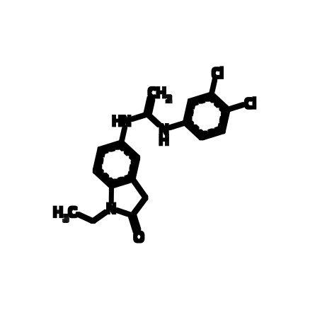 C=C(Nc1ccc(Cl)c(Cl)c1)Nc1ccc2c(c1)CC(=O)N2CC